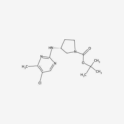 Cc1nc(N[C@@H]2CCN(C(=O)OC(C)(C)C)C2)ncc1Cl